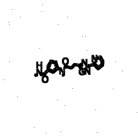 CNC(=O)c1cccc(N(C)C(=O)CCc2nc(-c3ccccn3)no2)c1